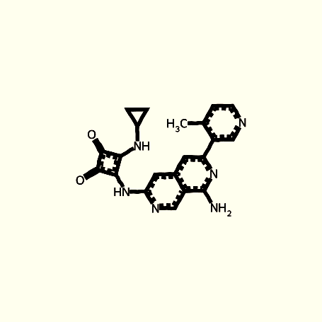 Cc1ccncc1-c1cc2cc(Nc3c(NC4CC4)c(=O)c3=O)ncc2c(N)n1